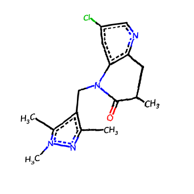 Cc1nn(C)c(C)c1CN1C(=O)C(C)Cc2ncc(Cl)cc21